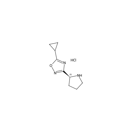 C1CN[C@H](c2noc(C3CC3)n2)C1.Cl